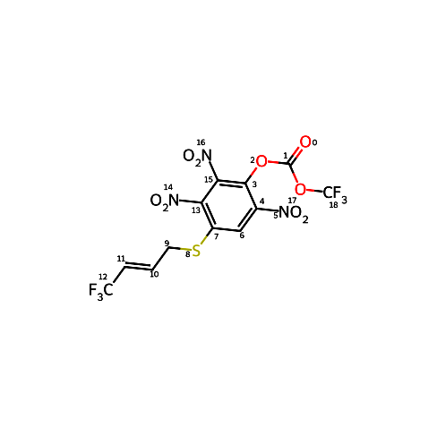 O=C(Oc1c([N+](=O)[O-])cc(SCC=CC(F)(F)F)c([N+](=O)[O-])c1[N+](=O)[O-])OC(F)(F)F